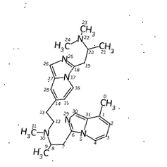 Cc1cccn2c(CC(C)N(C)CCc3ccn4c(CC(C)N(C)C)ncc4c3)ncc12